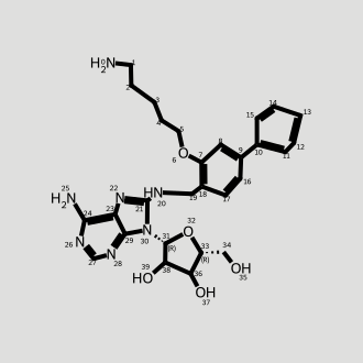 NCCCCCOc1cc(-c2ccccc2)ccc1CNc1nc2c(N)ncnc2n1[C@@H]1O[C@H](CO)C(O)C1O